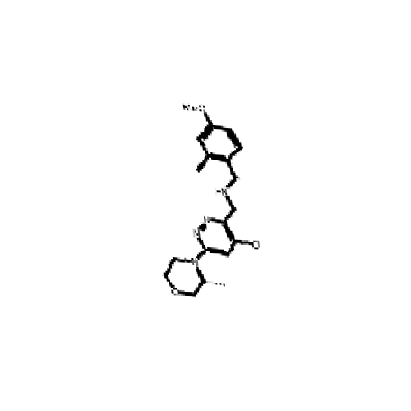 COc1ccc(CNCc2nnc(N3CCOC[C@H]3C)cc2Cl)c(C)c1